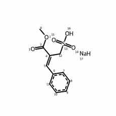 COC(=O)C(=Cc1ccccc1)CS(=O)(=O)O.[NaH]